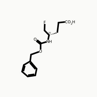 O=C(O)CC[C@@H](CF)NC(=O)OCc1ccccc1